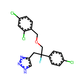 FC(COCc1ccc(Cl)cc1Cl)(Cc1c[nH]nn1)c1ccc(Cl)cc1